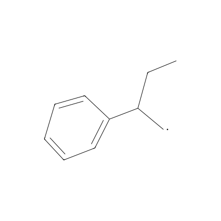 [CH2]C(CC)c1ccccc1